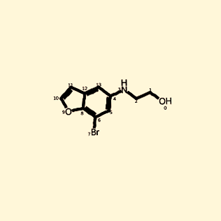 OCCNc1cc(Br)c2occc2c1